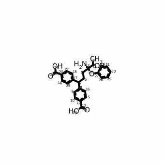 CC(O)C(N)(CCC(c1ccc(C(=O)O)cc1)c1ccc(C(=O)O)cc1)Oc1ccccc1